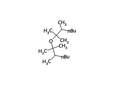 CCCCC(C)C(C)(C)OC(C)(C)C(C)CCCC